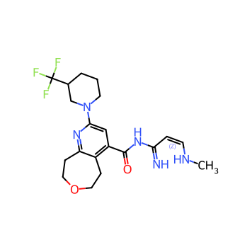 CN/C=C\C(=N)NC(=O)c1cc(N2CCCC(C(F)(F)F)C2)nc2c1CCOCC2